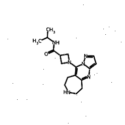 CC(C)NC(=O)C1CN(c2c3c(nc4ccnn24)CCNCC3)C1